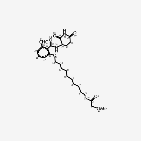 COCC(=O)NCCCCCCCCCCOc1cccc(C=O)c1C(=O)NC1CCC(=O)NC1=O